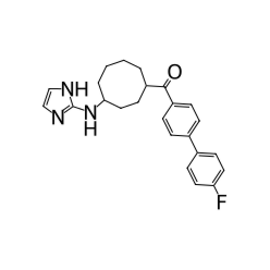 O=C(c1ccc(-c2ccc(F)cc2)cc1)C1CCCCC(Nc2ncc[nH]2)CC1